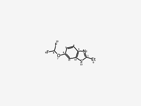 CCc1nc2ccc(OC(F)F)cc2s1